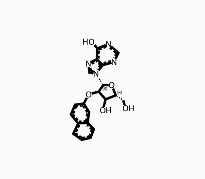 OC[C@H]1O[C@@H](n2cnc3c(O)ncnc32)C(Oc2ccc3ccccc3c2)C1O